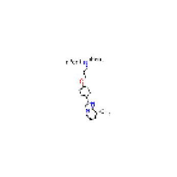 CCCCCN(CCCCC)CCCOc1ccc(-c2cn3cccc(C)c3n2)cc1